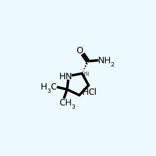 CC1(C)CC[C@@H](C(N)=O)N1.Cl